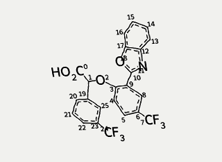 O=C(O)C(Oc1ccc(C(F)(F)F)cc1-c1nc2ccccc2o1)c1cccc(C(F)(F)F)c1